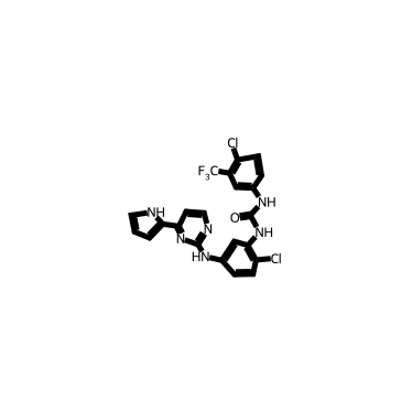 O=C(Nc1ccc(Cl)c(C(F)(F)F)c1)Nc1cc(Nc2nccc(-c3ccc[nH]3)n2)ccc1Cl